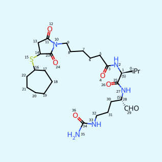 CC(C)[C@H](NC(=O)CCCCCN1C(=O)CC(SC2CCCCCC2)C1=O)C(=O)N[C@H](C=O)CCCNC(N)=O